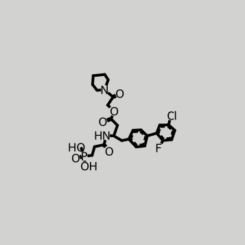 O=C(CCP(=O)(O)O)NC(CC(=O)OCC(=O)N1CCCCC1)Cc1ccc(-c2cc(Cl)ccc2F)cc1